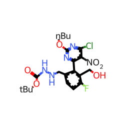 CCCCOc1nc(Cl)c([N+](=O)[O-])c(-c2c(CNNC(=O)OC(C)(C)C)ccc(F)c2CO)n1